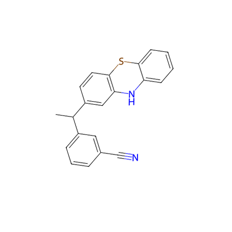 CC(c1cccc(C#N)c1)c1ccc2c(c1)Nc1ccccc1S2